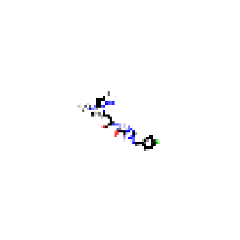 CC1C=C(N(C)C)N(CCC(C=O)NC(=O)c2ncn(Cc3ccc(Cl)cc3)n2)N1